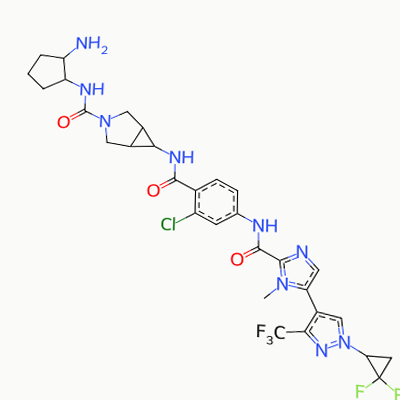 Cn1c(-c2cn(C3CC3(F)F)nc2C(F)(F)F)cnc1C(=O)Nc1ccc(C(=O)NC2C3CN(C(=O)NC4CCCC4N)CC32)c(Cl)c1